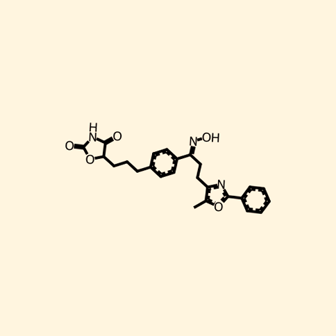 Cc1oc(-c2ccccc2)nc1CC/C(=N\O)c1ccc(CCCC2OC(=O)NC2=O)cc1